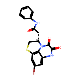 O=C(C[C@H]1CSc2cc(Br)cc3[nH]c(=O)c(=O)n1c23)Nc1ccccc1